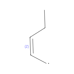 [CH2]/C=C\CC